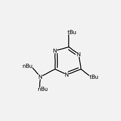 CCCCN(CCCC)c1nc(C(C)(C)C)nc(C(C)(C)C)n1